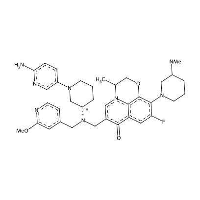 CNC1CCCN(c2c(F)cc3c(=O)c(CN(Cc4ccnc(OC)c4)[C@H]4CCCN(c5ccc(N)nc5)C4)cn4c3c2OCC4C)C1